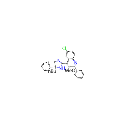 CCCCC1(c2ccccc2)CN=C(c2c(OC)c(-c3ccccc3)nc3ccc(Cl)cc23)N1